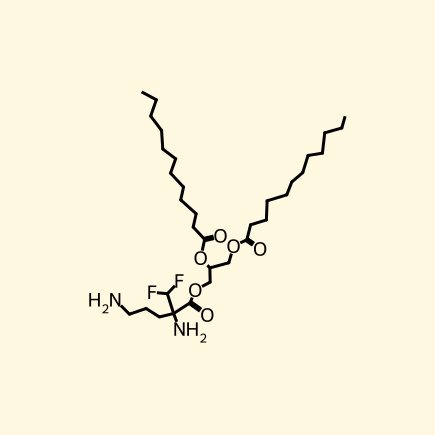 CCCCCCCCCCCC(=O)OCC(COC(=O)C(N)(CCCN)C(F)F)OC(=O)CCCCCCCCCCC